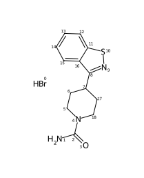 Br.NC(=O)N1CCC(c2nsc3ccccc23)CC1